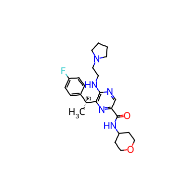 C[C@H](c1ccc(F)cc1)c1nc(C(=O)NC2CCOCC2)cnc1NCCN1CCCC1